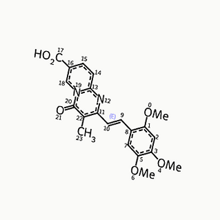 COc1cc(OC)c(OC)cc1/C=C/c1nc2ccc(C(=O)O)cn2c(=O)c1C